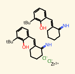 CC(C)(C)c1cccc(C=C2CCCCC2=N)c1O.CC(C)(C)c1cccc(C=C2CCCCC2=N)c1O.[Cl-].[Cl-].[Zr+2]